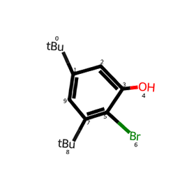 CC(C)(C)c1cc(O)c(Br)c(C(C)(C)C)c1